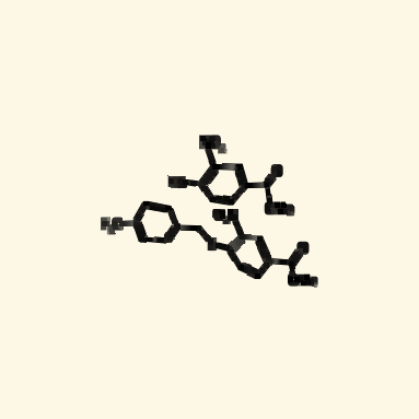 COC(=O)c1ccc(S)c([N+](=O)[O-])c1.COC(=O)c1ccc(SCc2ccc(C(F)(F)F)cc2)c([N+](=O)[O-])c1